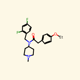 CCOc1ccc(CC(=O)N(Cc2ccc(F)cc2F)C2CCN(C)CC2)cc1